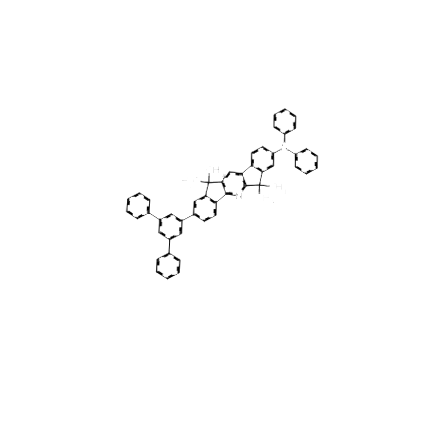 CC1(C)c2cc(-c3cc(-c4ccccc4)cc(-c4ccccc4)c3)ccc2-c2nc3c(cc21)-c1ccc(N(c2ccccc2)c2ccccc2)cc1C3(C)C